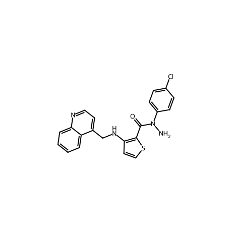 NN(C(=O)c1sccc1NCc1ccnc2ccccc12)c1ccc(Cl)cc1